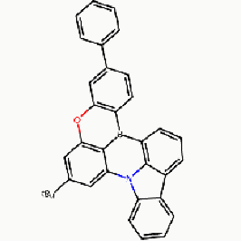 CC(C)(C)c1cc2c3c(c1)-n1c4ccccc4c4cccc(c41)B3c1ccc(-c3ccccc3)cc1O2